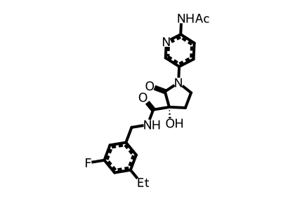 CCc1cc(F)cc(CNC(=O)[C@]2(O)CCN(c3ccc(NC(C)=O)nc3)C2=O)c1